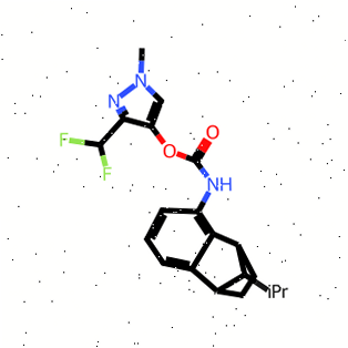 CC(C)C1C2CCC1c1c(NC(=O)Oc3cn(C)nc3C(F)F)cccc12